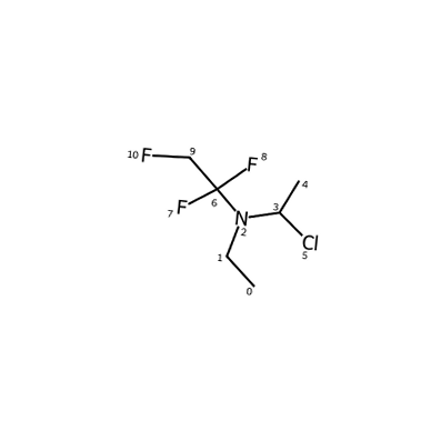 CCN(C(C)Cl)C(F)(F)CF